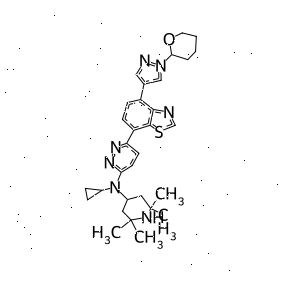 CC1(C)CC(N(c2ccc(-c3ccc(-c4cnn(C5CCCCO5)c4)c4ncsc34)nn2)C2CC2)CC(C)(C)N1